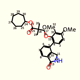 COc1ccc(-c2cccc3c2CNC3=O)c(OCC(C)(C)C(=O)OC2CCCCCC2)c1OC